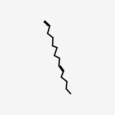 C=CCCCCCCC=CCCCC